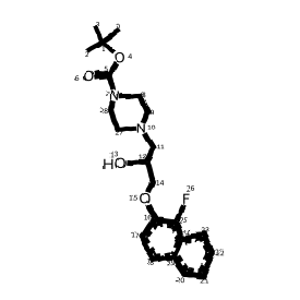 CC(C)(C)OC(=O)N1CCN(CC(O)COc2ccc3ccccc3c2F)CC1